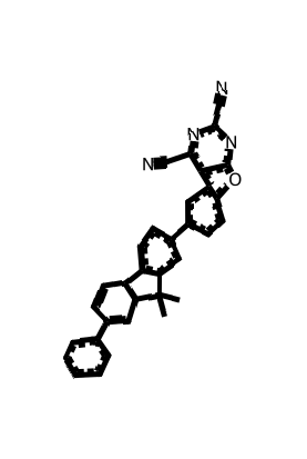 CC1(C)c2cc(-c3ccc4oc5nc(C#N)nc(C#N)c5c4c3)ccc2C2C=CC(c3ccccc3)=CC21